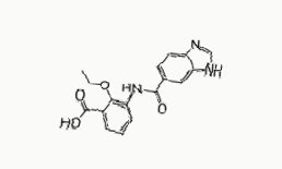 CCOc1c(NC(=O)c2ccc3nc[nH]c3c2)cccc1C(=O)O